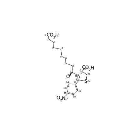 O=C(O)CCCCCCCCC(=O)N1C(c2ccc([N+](=O)[O-])cc2)SC[C@H]1C(=O)O